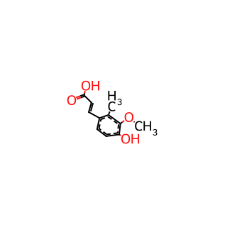 COc1c(O)ccc(C=CC(=O)O)c1C